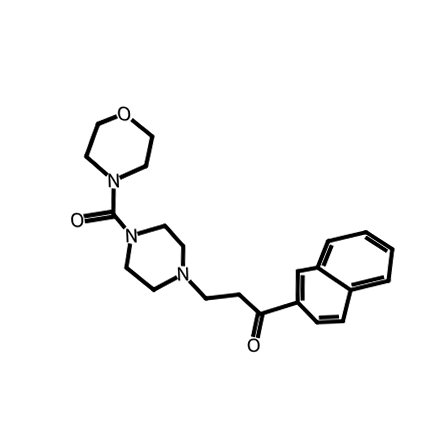 O=C(CCN1CCN(C(=O)N2CCOCC2)CC1)c1ccc2ccccc2c1